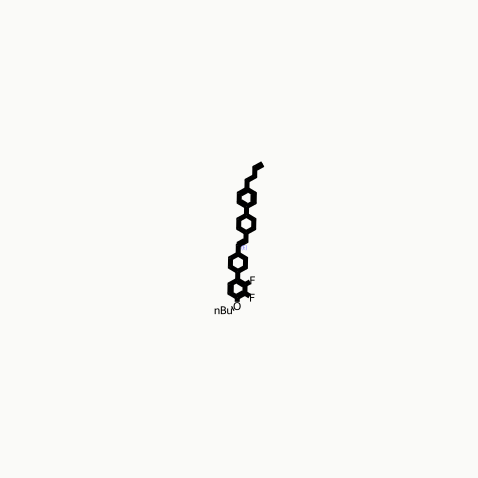 C=CCCc1ccc(C2CCC(/C=C/C3CCC(c4ccc(OCCCC)c(F)c4F)CC3)CC2)cc1